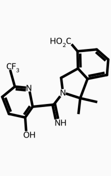 CC1(C)c2cccc(C(=O)O)c2CN1C(=N)c1nc(C(F)(F)F)ccc1O